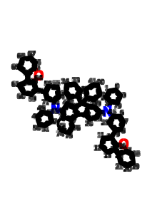 c1ccc(N(c2cccc(-c3cccc4c3oc3ccccc34)c2)c2ccc3c(c2)C(c2ccccc2)(c2ccccc2)c2cc(N(c4ccccc4)c4cccc(-c5cccc6c5oc5ccccc56)c4)c4ccccc4c2-3)cc1